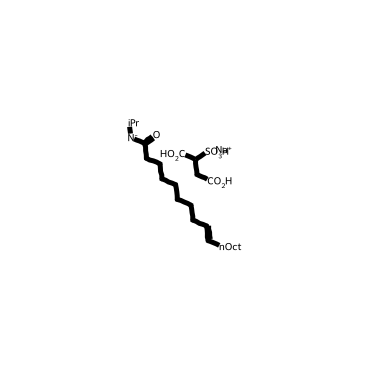 CCCCCCCCC=CCCCCCCCC(=O)[N-]C(C)C.O=C(O)CC(C(=O)O)S(=O)(=O)O.[Na+]